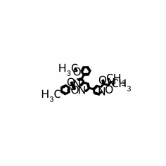 COc1ccccc1-c1cn(S(=O)(=O)c2ccc(C)cc2)c2ncc(-c3ccnc(C(=O)C(=O)N(C)C)c3)cc12